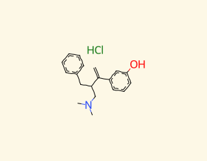 C=C(c1cccc(O)c1)C(Cc1ccccc1)CN(C)C.Cl